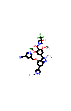 COc1cc(-c2c3c(OCc4cncc(C#N)c4)cc(-c4cnn(C)c4)cc3nn2C)cc(OC(F)F)c1C(=O)N1CC(O)(C(F)(F)F)C1